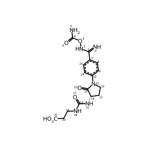 N=C(NOC(N)=O)c1ccc(N2CC[C@H](NC(=O)NCCC(=O)O)C2=O)cc1